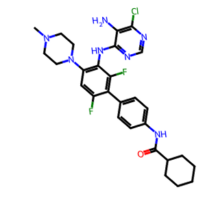 CN1CCN(c2cc(F)c(-c3ccc(NC(=O)C4CCCCC4)cc3)c(F)c2Nc2ncnc(Cl)c2N)CC1